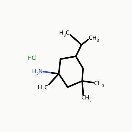 CC(C)C1CC(C)(C)CC(C)(N)C1.Cl